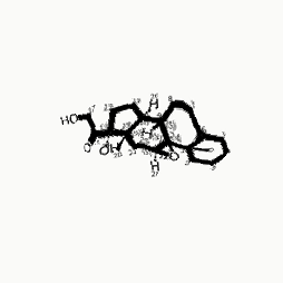 C[C@]12CCCCC1CC[C@H]1[C@@H]3CC[C@](O)(C(=O)CO)[C@@]3(C)C[C@@H]3O[C@@]312